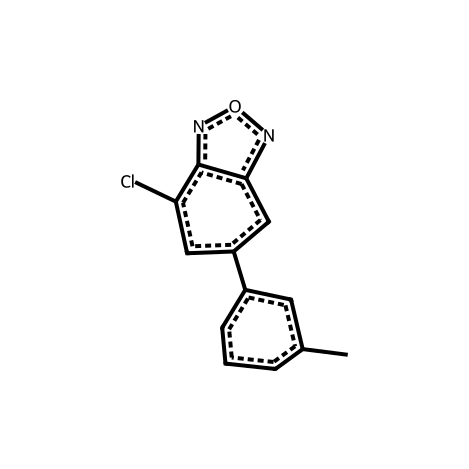 Cc1cccc(-c2cc(Cl)c3nonc3c2)c1